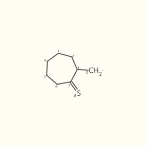 [CH2]C1CCCCCC1=S